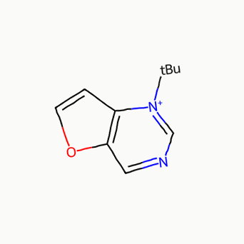 CC(C)(C)[n+]1cncc2occc21